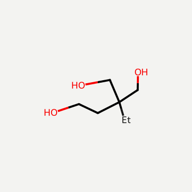 CCC(CO)(CO)CCO